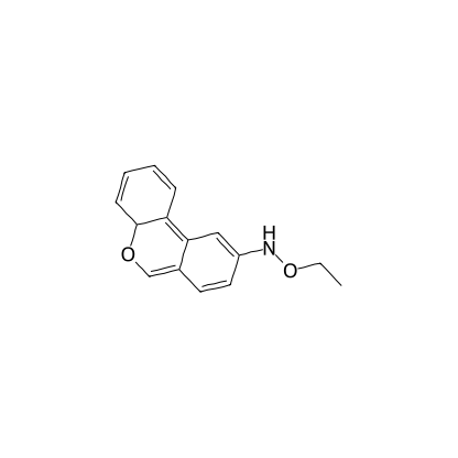 CCONc1ccc2c(c1)=C1C=CC=CC1OC=2